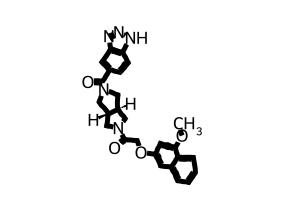 COc1cc(OCC(=O)N2C[C@@H]3CN(C(=O)c4ccc5[nH]nnc5c4)C[C@H]3C2)cc2ccccc12